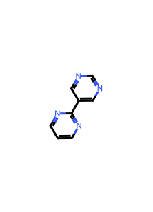 [c]1ccnc(-c2cncnc2)n1